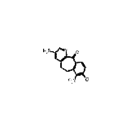 Bc1cnc2c(c1)CCc1c(ccc(Cl)c1[N+](=O)[O-])C2=O